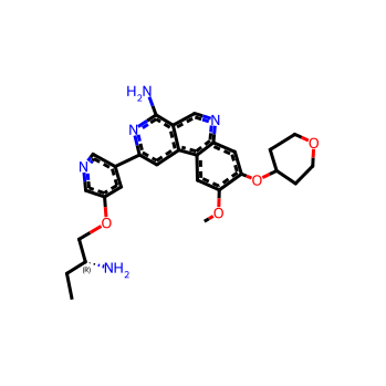 CC[C@@H](N)COc1cncc(-c2cc3c(cnc4cc(OC5CCOCC5)c(OC)cc43)c(N)n2)c1